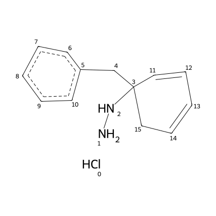 Cl.NNC1(Cc2ccccc2)C=CC=CC1